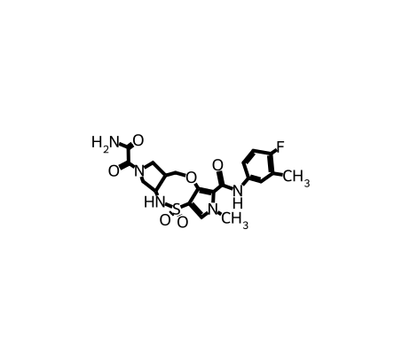 Cc1cc(NC(=O)c2c3c(cn2C)S(=O)(=O)NC2CN(C(=O)C(N)=O)CC2CO3)ccc1F